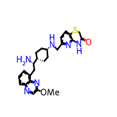 COc1cnc2cccc(C[C@H](N)[C@H]3CC[C@@H](NCc4ccc5c(n4)NC(=O)CS5)CC3)c2n1